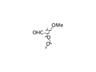 C=CCOC(=C)CCOC(=C)/C(=C/C(=C/CCOC)C(=C)C)CCC=O